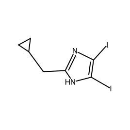 Ic1nc(CC2CC2)[nH]c1I